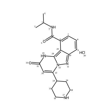 CC(C)NC(=O)c1cccc2nn3c(C4CCNCC4)cc(=O)[nH]c3c12.Cl